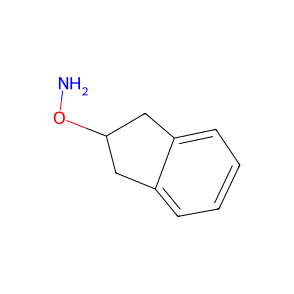 NOC1Cc2ccccc2C1